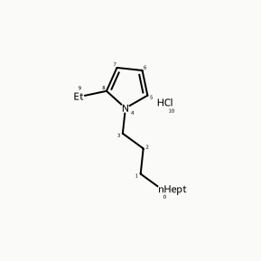 CCCCCCCCCCn1cccc1CC.Cl